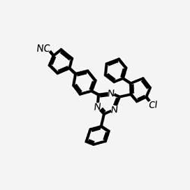 N#Cc1ccc(-c2ccc(-c3nc(-c4ccccc4)nc(-c4cc(Cl)ccc4-c4ccccc4)n3)cc2)cc1